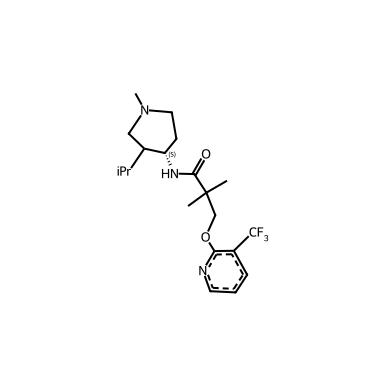 CC(C)C1CN(C)CC[C@@H]1NC(=O)C(C)(C)COc1ncccc1C(F)(F)F